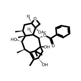 CC(=O)O[C@@]12CO[C@@H]1C[C@H](C)[C@]1(C)[C@@H]2[C@H](OC(=O)c2ccccc2)[C@]2(O)C[C@H](O)C(C)=C([C@@H](C)[C@@H]1O)C2(C)C